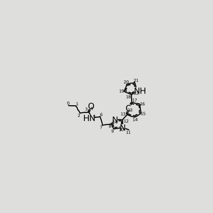 CCCC(=O)NCCc1cn(C)c(-c2cccc(-c3ccc[nH]3)c2)n1